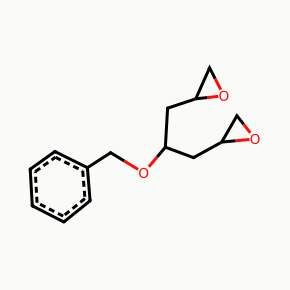 c1ccc(COC(CC2CO2)CC2CO2)cc1